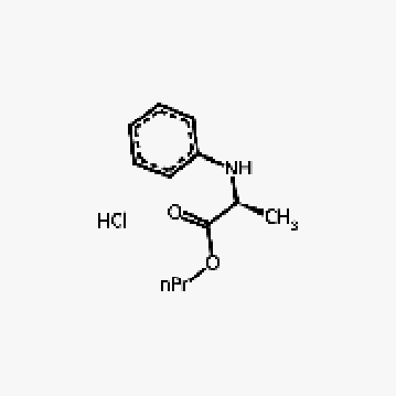 CCCOC(=O)[C@H](C)Nc1ccccc1.Cl